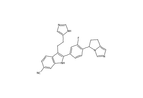 N#Cc1ccc2c(CCc3cnc[nH]3)c(-c3ccc(C4CCc5cncn54)c(F)c3)[nH]c2c1